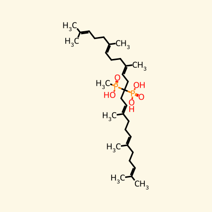 CC(C)=CCC/C(C)=C/CC/C(C)=C/CC(C/C=C(\C)CC/C=C(\C)CCC=C(C)C)(P(C)(=O)O)P(=O)(O)O